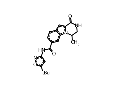 CC1CNC(=O)c2cc3ccc(C(=O)Nc4cc(C(C)(C)C)on4)cc3n21